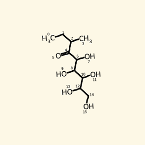 CCC(C)C(=O)C(O)C(O)C(O)C(O)CO